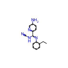 CCc1ccccc1N=C(NC#N)c1ccc(N)cn1